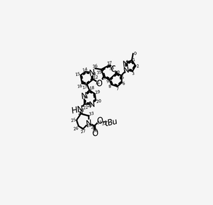 Cc1ccn(-c2cccc3c(Oc4ncccc4-c4ccnc(NC5CCCN(C(=O)OC(C)(C)C)C5)n4)c(C)ccc23)n1